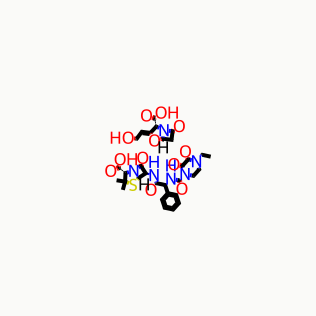 CCN1CCN(C(=O)N[C@@H](C(=O)N[C@@H]2C(=O)N3[C@@H]2SC(C)(C)[C@@H]3C(=O)O)c2ccccc2)C(=O)C1=O.O=C(O)[C@H]1/C(=C/CO)O[C@@H]2CC(=O)N21